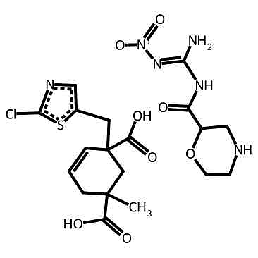 CC1(C(=O)O)CC=CC(Cc2cnc(Cl)s2)(C(=O)O)C1.NC(=N[N+](=O)[O-])NC(=O)C1CNCCO1